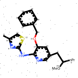 CCCC(Cc1cnc(Nc2nc(C)cs2)c(OCc2ccccc2)c1)OC